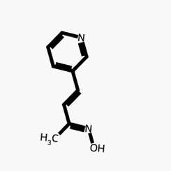 CC(C=Cc1cccnc1)=NO